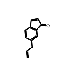 C=CCc1ccc2c(c1)C(=O)C=C2